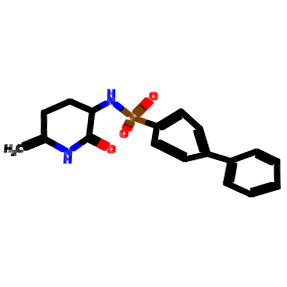 C=C1CCC(NS(=O)(=O)c2ccc(-c3ccccc3)cc2)C(=O)N1